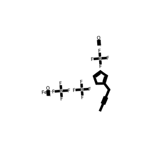 CC#CCC1=CC=CC1.F[B-](F)(F)F.F[B-](F)(F)F.F[B-](F)(F)F.[C]=O.[C]=O.[Fe+3]